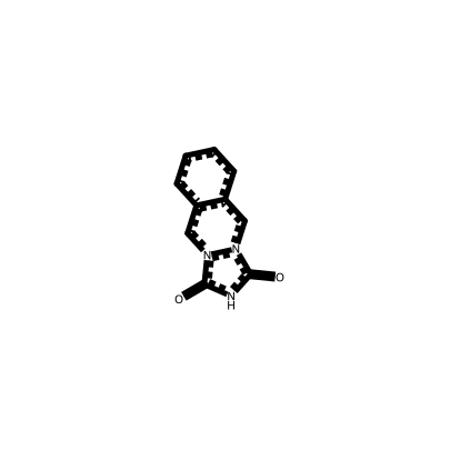 O=c1[nH]c(=O)n2cc3ccccc3cn12